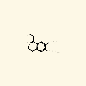 COc1cc2c(cc1OC)C(CCl)=NCC2